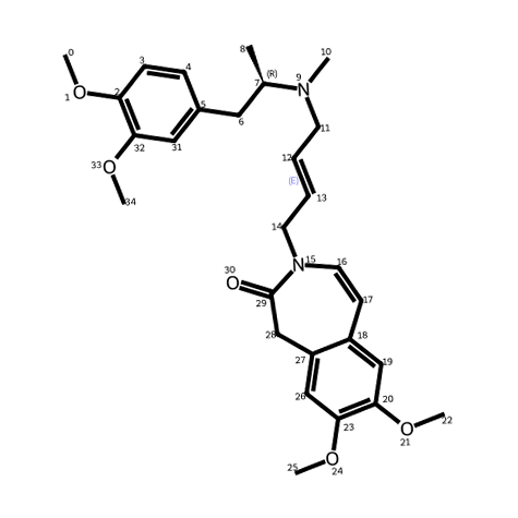 COc1ccc(C[C@@H](C)N(C)C/C=C/CN2C=Cc3cc(OC)c(OC)cc3CC2=O)cc1OC